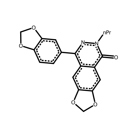 CCCn1nc(-c2ccc3c(c2)OCO3)c2cc3c(cc2c1=O)OCO3